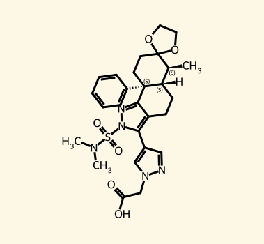 C[C@H]1[C@@H]2CCc3c(nn(S(=O)(=O)N(C)C)c3-c3cnn(CC(=O)O)c3)[C@@]2(c2ccccc2)CCC12OCCO2